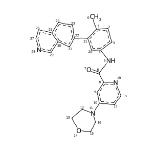 Cc1ccc(NC(=O)c2cc(N3CCOCC3)ccn2)cc1-c1ccc2ccncc2c1